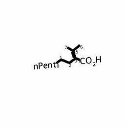 CCCCCCCC(C(=O)O)=C(C)C